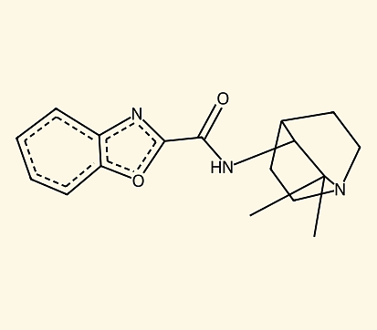 CC1(C)C(NC(=O)c2nc3ccccc3o2)C2CCN1CC2